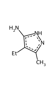 CCc1c(C)n[nH]c1N